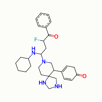 O=C1C=CC(C2CN(C(CC(F)C(=O)c3ccccc3)NC3CCCCC3)CCC23CNCN3)=CC1